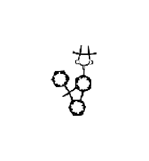 CC1(c2ccccc2)c2ccccc2-c2ccc(B3OC(C)(C)C(C)(C)O3)cc21